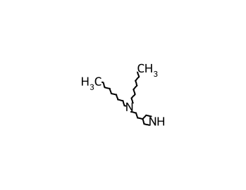 CCCCCCCCCN(CCCCCCCCC)CCCC1CCNCC1